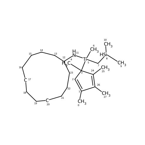 CC1=C[C](C)([Ti]([CH3])([CH2][SiH](C)C)[NH]C2CCCCCCCCCCC2)C(C)=C1C